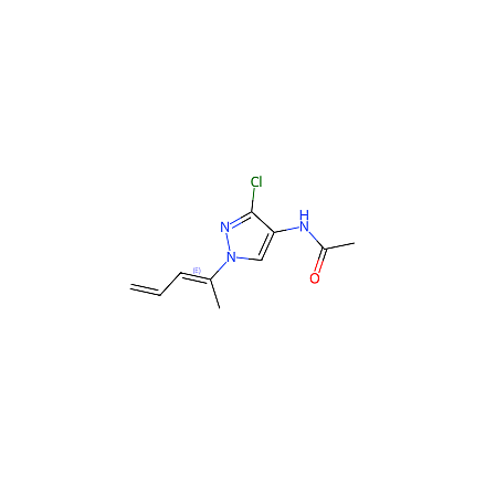 C=C/C=C(\C)n1cc(NC(C)=O)c(Cl)n1